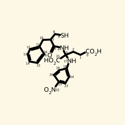 O=C(O)CCC(NC(=O)C(CS)Cc1ccccc1)(Nc1ccc([N+](=O)[O-])cc1)C(=O)O